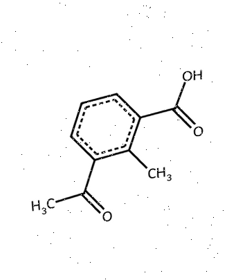 CC(=O)c1cccc(C(=O)O)c1C